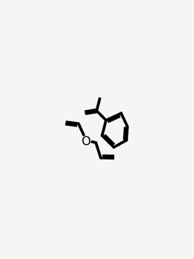 C=C(C)c1ccccc1.C=CCOC=C